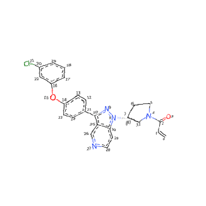 C=CC(=O)N1CC[C@@H](n2nc(-c3ccc(Oc4cccc(Cl)c4)cc3)c3cnccc32)C1